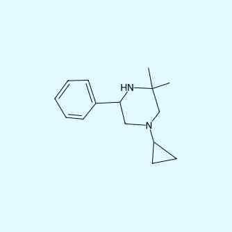 CC1(C)CN(C2CC2)CC(c2ccccc2)N1